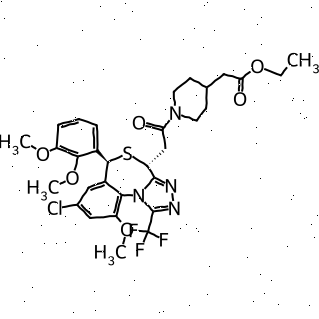 CCOC(=O)CC1CCN(C(=O)C[C@H]2S[C@H](c3cccc(OC)c3OC)c3cc(Cl)cc(OC)c3-n3c2nnc3C(F)(F)F)CC1